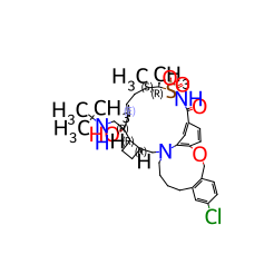 C[C@@H]1[C@@H](C)C/C=C/[C@@](O)(CNC(C)(C)C)[C@@H]2CC[C@H]2CN2CCCCc3cc(Cl)ccc3COc3ccc(cc32)C(=O)NS1(=O)=O